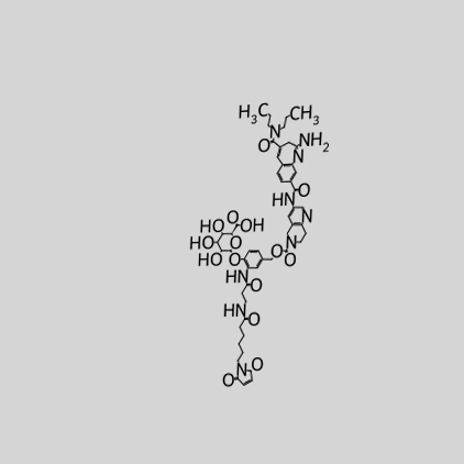 CCCN(CCC)C(=O)C1=Cc2ccc(C(=O)Nc3cnc4c(c3)CN(C(=O)OCc3ccc(O[C@@H]5O[C@H](C(=O)O)[C@@H](O)[C@H](O)[C@H]5O)c(NC(=O)CCNC(=O)CCCCCN5C(=O)C=CC5=O)c3)CC4)cc2N=C(N)C1